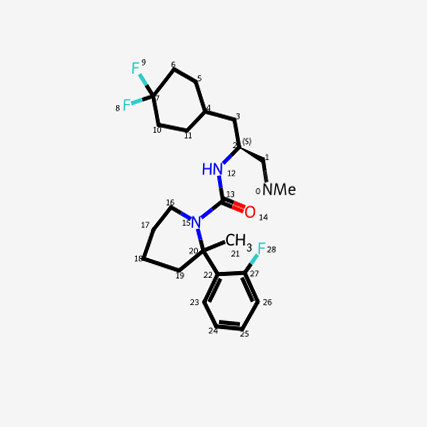 CNC[C@H](CC1CCC(F)(F)CC1)NC(=O)N1CCCCC1(C)c1ccccc1F